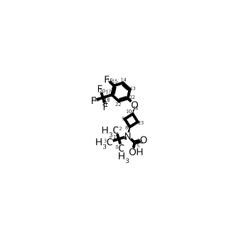 CC(C)(C)N(C(=O)O)[C@H]1C[C@H](Oc2ccc(F)c(C(F)(F)F)c2)C1